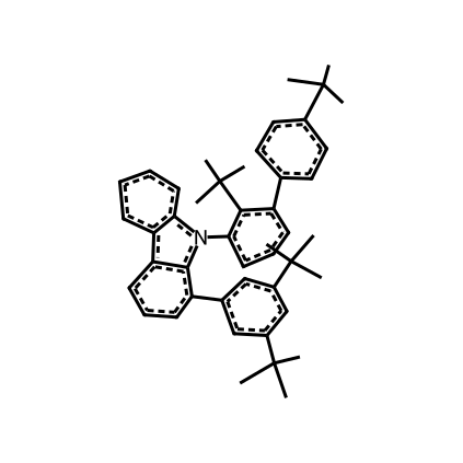 CC(C)(C)c1ccc(-c2cccc(-n3c4ccccc4c4cccc(-c5cc(C(C)(C)C)cc(C(C)(C)C)c5)c43)c2C(C)(C)C)cc1